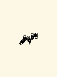 CC(C)N1CCN(c2cc(-c3cc(F)cc(-c4ccc(-n5ccn(C)c5=O)c(Cl)c4)c3O)cc(=O)n2C)CC1